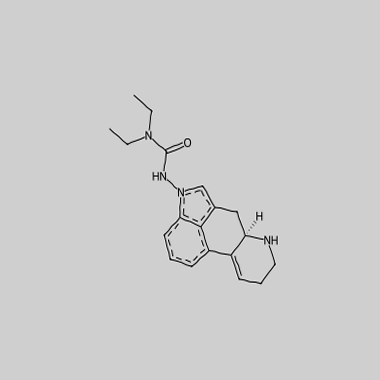 CCN(CC)C(=O)Nn1cc2c3c(cccc31)C1=CCCN[C@@H]1C2